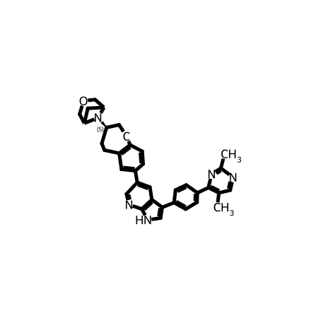 Cc1ncc(C)c(-c2ccc(-c3c[nH]c4ncc(-c5ccc6c(c5)CC[C@@H](N5C7COCC5C7)CC6)cc34)cc2)n1